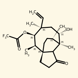 C=C[C@@]1(C)C[C@H](O)[C@@]2(C)C3C(=O)CC[C@]3(CC[C@@H]2C)[C@@H](C)[C@H]1OC(=O)C(F)(F)F